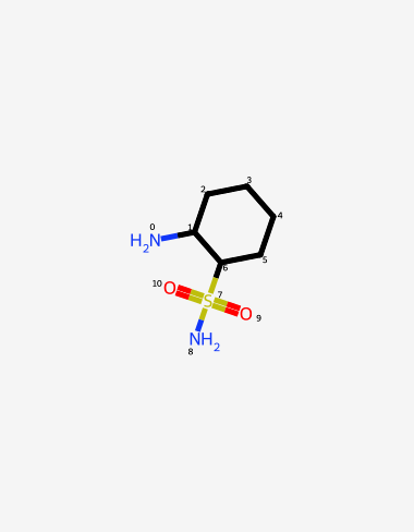 NC1CCCCC1S(N)(=O)=O